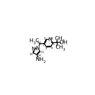 CC(c1ccc(C(C)(C)O)nc1)n1cc(N)cn1